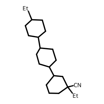 CCC1CCC(C2CCC(C3CCCC(C#N)(CC)C3)CC2)CC1